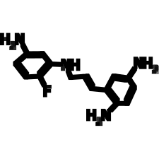 Nc1ccc(N)c(C=CCNc2cc(N)ccc2F)c1